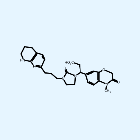 CN1C(=O)COc2cc([C@H](CC(=O)O)N3CCN(CCCc4ccc5c(n4)NCCC5)C3=O)ccc21